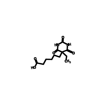 CCC1(CCCCCC(=O)O)C(=O)NC(=O)NC1=O